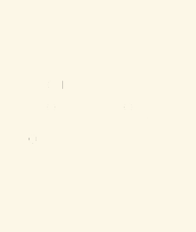 COc1cc(OCI)ccc1C=O